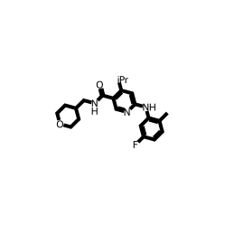 Cc1ccc(F)cc1Nc1cc(C(C)C)c(C(=O)NCC2CCOCC2)cn1